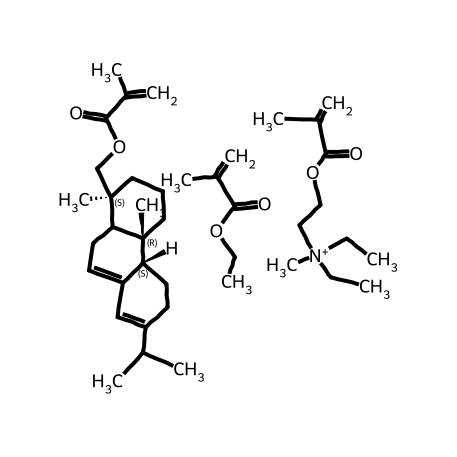 C=C(C)C(=O)OCC.C=C(C)C(=O)OCC[N+](C)(CC)CC.C=C(C)C(=O)OC[C@@]1(C)CCC[C@@]2(C)C1CC=C1C=C(C(C)C)CC[C@H]12